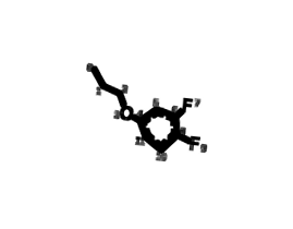 CCCOc1[c]c(F)c(F)cc1